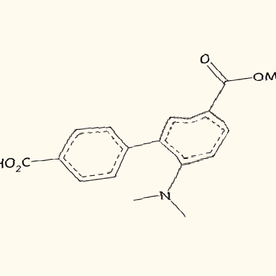 COC(=O)c1ccc(N(C)C)c(-c2ccc(C(=O)O)cc2)c1